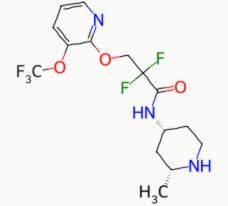 C[C@@H]1C[C@H](NC(=O)C(F)(F)COc2ncccc2OC(F)(F)F)CCN1